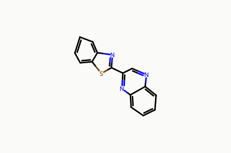 c1ccc2nc(-c3nc4ccccc4s3)cnc2c1